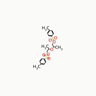 Cc1ccc(S(=O)(=O)OCC(C)OC(C)COS(=O)(=O)c2ccc(C)cc2)cc1